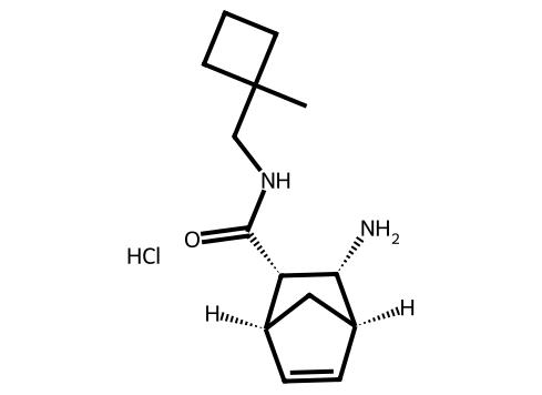 CC1(CNC(=O)[C@@H]2[C@H](N)[C@H]3C=C[C@@H]2C3)CCC1.Cl